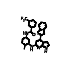 Cc1ccc(NC(=O)c2cccc(C(F)(F)F)c2)cc1Nc1cc(-c2cc3ccccc3s2)c2cc[nH]c2n1